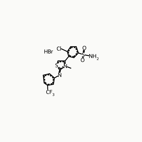 Br.Cn1c(-c2cc(S(N)(=O)=O)ccc2Cl)csc1=Nc1cccc(C(F)(F)F)c1